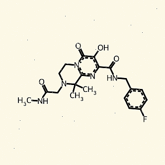 CNC(=O)CN1CCn2c(nc(C(=O)NCc3ccc(F)cc3)c(O)c2=O)C1(C)C